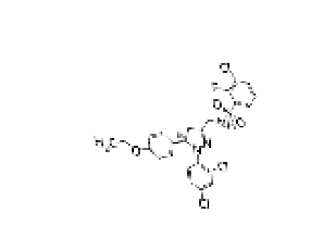 CCOc1ccc([C@H]2CC(CNS(=O)(=O)c3cccc(Cl)c3F)=NN2c2ccc(Cl)cc2Cl)cc1